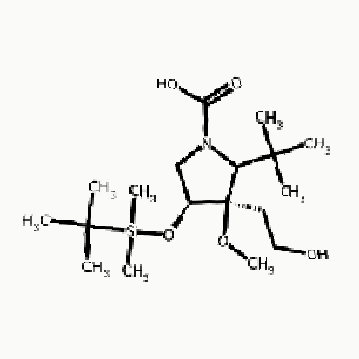 CO[C@]1(CCO)C(C(C)(C)C)N(C(=O)O)C[C@@H]1O[Si](C)(C)C(C)(C)C